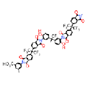 Cc1cc(C(=O)O)cc(N2C(=O)c3ccc(C(c4ccc5c(c4)C(=O)N(c4cc(C(C)(c6ccc(O)c(N7C(=O)c8ccc(C(c9ccc%10c(c9)C(=O)N(C)C%10=O)(C(F)(F)F)C(F)(F)F)cc8C7=O)c6)C(F)(F)F)ccc4O)C5=O)(C(F)(F)F)C(F)(F)F)cc3C2=O)c1